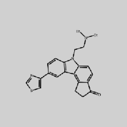 CCN(CC)CCn1c2ccc(-c3cscn3)cc2c2c3c(ccc21)C(=O)CC3